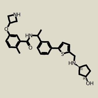 Cc1ccc(OC2CNC2)cc1C(=O)NC(C)c1cccc(-c2ccc(CN[C@H]3CC[C@@H](O)C3)s2)c1